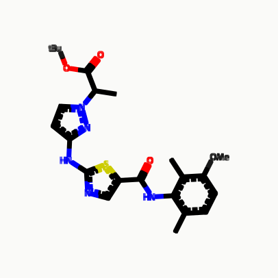 COc1ccc(C)c(NC(=O)c2cnc(Nc3ccn(C(C)C(=O)OC(C)(C)C)n3)s2)c1C